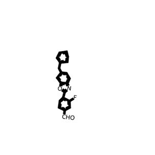 O=Cc1ccc(-c2nc3ccc(Cc4ccccc4)cc3o2)c(F)c1